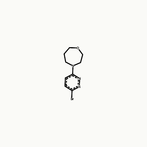 Brc1ccc(N2CCCOCC2)nn1